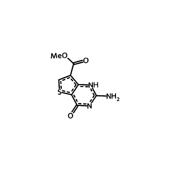 COC(=O)c1csc2c(=O)nc(N)[nH]c12